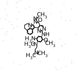 COc1cc(N(C)CCN(C)C)c(N)cc1Nc1ncc(-c2nnc(C)o2)c(-c2cn3c4c(cccc24)CCC3)n1